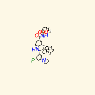 CC1(C)Cc2cc(C(=O)NS(C)(=O)=O)ccc2NC1c1cc(F)cc(N2CCCC2)c1